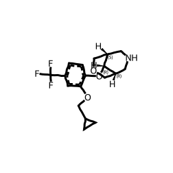 FC(F)(F)c1ccc(O[C@H]2[C@@H]3CNC[C@H]2COC3)c(OCC2CC2)c1